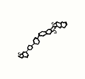 c1ccc2cc3c(cc2c1)sc1c2cc4ccc(-c5ccc(-c6ccc(-c7ccc8ccsc8c7)cc6)cc5)cc4cc2sc31